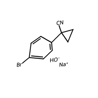 N#CC1(c2ccc(Br)cc2)CC1.[Na+].[OH-]